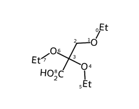 CCOCC(OCC)(OCC)C(=O)O